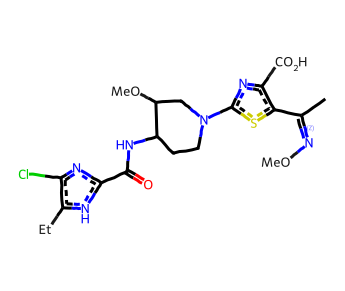 CCc1[nH]c(C(=O)NC2CCN(c3nc(C(=O)O)c(/C(C)=N\OC)s3)CC2OC)nc1Cl